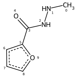 CNNC(=O)c1ccco1